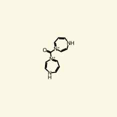 O=C([N+]1=CC=CNC=C1)[N+]1=CC=CNC=C1